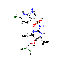 COc1nc(NS(=O)(=O)c2c[nH]c3nc(Br)ccc23)nc(OC)c1OCC(F)F